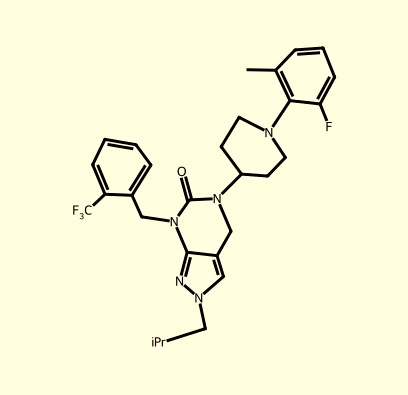 Cc1cccc(F)c1N1CCC(N2Cc3cn(CC(C)C)nc3N(Cc3ccccc3C(F)(F)F)C2=O)CC1